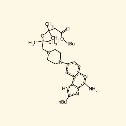 CCCCc1nc2c(N)nc3ccc(N4CCN(CC(C)(C)OC(C)(C)CC(=O)OC(C)(C)C)CC4)cc3c2[nH]1